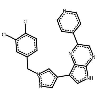 Clc1ccc(Cn2cc(-c3c[nH]c4ncc(-c5ccncc5)nc34)cn2)cc1Cl